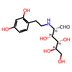 O=C[C@@H](NCCc1ccc(O)cc1O)[C@@H](O)[C@H](O)[C@H](O)CO